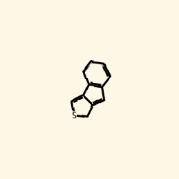 C1=CC2=C(CC1)C1=CSCC1=C2